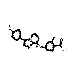 COc1ccc(-c2cnc3c(Nc4ccc(C(=O)O)c(C)c4)nccn23)cc1